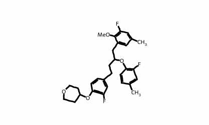 COc1c(F)cc(C)cc1CC(CCc1ccc(OC2CCOCC2)c(F)c1)Oc1ccc(C)cc1F